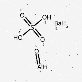 O=S(=O)(O)O.[BaH2].[O]=[AlH]